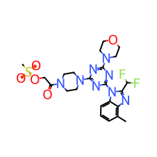 Cc1cccc2c1nc(C(F)F)n2-c1nc(N2CCOCC2)nc(N2CCN(C(=O)COS(C)(=O)=O)CC2)n1